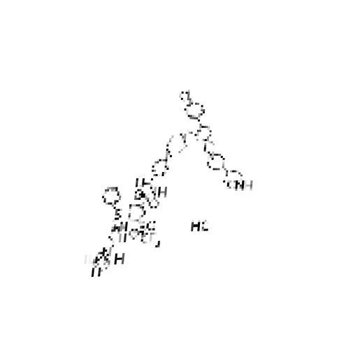 CC1(CN2CCC(C3CCNCC3)CC2)CCC(c2ccc(Cl)cc2)=C(CN2CCN(c3ccc(C(=O)NS(=O)(=O)c4ccc(N[C@H](CCN5C[C@H]6C[C@@H]5CO6)CSc5ccccc5)c(S(=O)(=O)C(F)(F)F)c4)cc3)CC2)C1.Cl